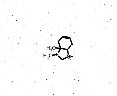 CB1CNC2CC=CCC12C